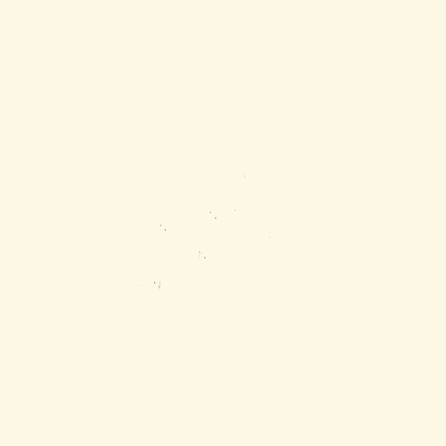 CCc1nc(N)nn1-c1ccccc1